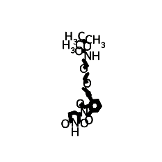 CC(C)(C)OC(=O)NCCOCCOCC#Cc1cccc2c1C(=O)N(C1CCC(=O)NC1=O)C2=O